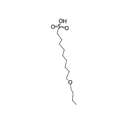 CCCCOCCCCCCCCCS(=O)(=O)O